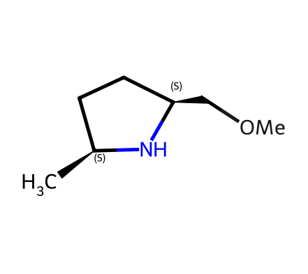 COC[C@@H]1CC[C@H](C)N1